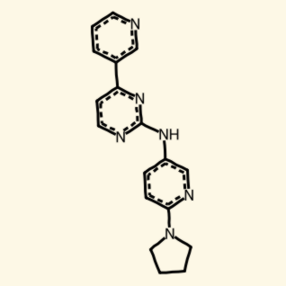 c1cncc(-c2ccnc(Nc3ccc(N4CCCC4)nc3)n2)c1